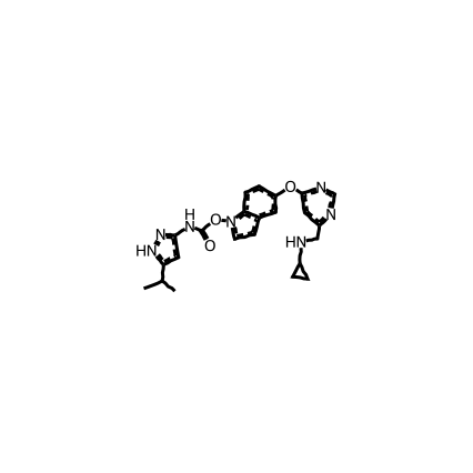 CC(C)c1cc(NC(=O)On2ccc3cc(Oc4cc(CNC5CC5)ncn4)ccc32)n[nH]1